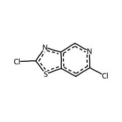 Clc1cc2sc(Cl)nc2cn1